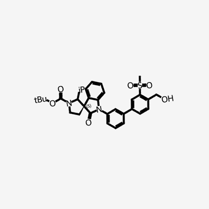 CC(C)C1N(C(=O)OC(C)(C)C)CC[C@@]12C(=O)N(c1cccc(-c3ccc(CO)c(S(C)(=O)=O)c3)c1)c1ccccc12